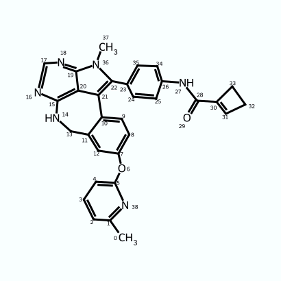 Cc1cccc(Oc2ccc3c(c2)CNc2ncnc4c2c-3c(-c2ccc(NC(=O)C3=CCC3)cc2)n4C)n1